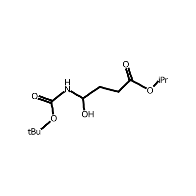 CC(C)OC(=O)CCC(O)NC(=O)OC(C)(C)C